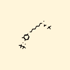 CN(CCCCCCOc1ccc(B2OC(C)(C)C(C)(C)O2)c(F)c1)C(=O)OC(C)(C)C